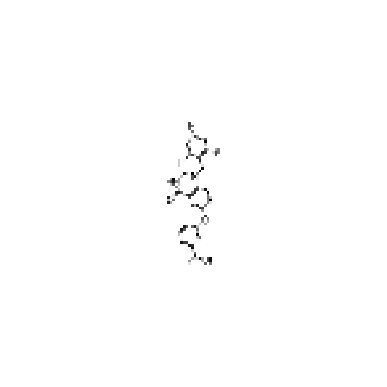 CC(O)c1cccc(Oc2ccc3c(c2)C(=O)NCN3Cc2c(F)cc(F)cc2F)c1